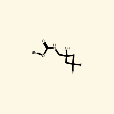 CC(C)(C)OC(=O)NCC1(O)CC(F)(F)C1